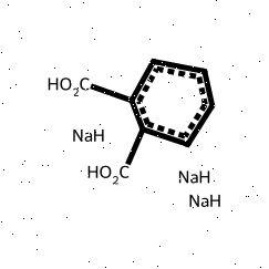 O=C(O)c1ccccc1C(=O)O.[NaH].[NaH].[NaH]